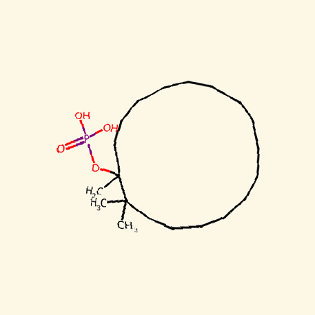 CC1(C)CCCCCCCCCCCCCCCC1(C)OP(=O)(O)O